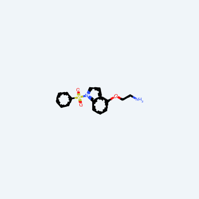 NCCOc1cccc2c1ccn2S(=O)(=O)c1ccccc1